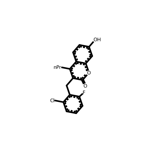 CCCc1c(Cc2c(F)cccc2Cl)c(=O)oc2cc(O)ccc12